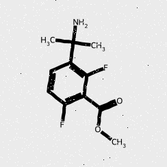 COC(=O)c1c(F)ccc(C(C)(C)N)c1F